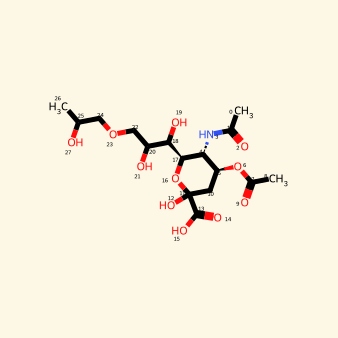 CC(=O)N[C@@H]1[C@@H](OC(C)=O)CC(O)(C(=O)O)O[C@H]1C(O)C(O)COCC(C)O